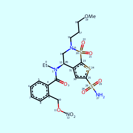 CCN(C(=O)c1ccccc1CO[N+](=O)[O-])[C@H]1CN(CCCOC)S(=O)(=O)c2sc(S(N)(=O)=O)cc21